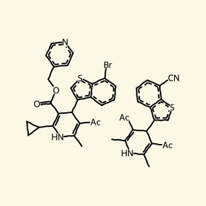 CC(=O)C1=C(C)NC(C)=C(C(C)=O)C1c1csc2c(C#N)cccc12.CC(=O)C1=C(C)NC(C2CC2)=C(C(=O)OCc2ccncc2)C1c1csc2c(Br)cccc12